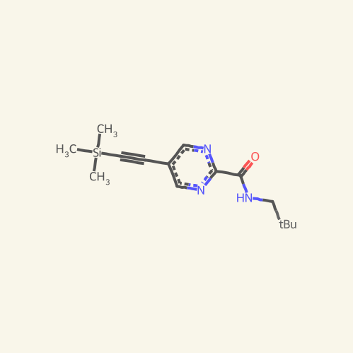 CC(C)(C)CNC(=O)c1ncc(C#C[Si](C)(C)C)cn1